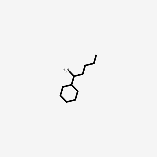 CCCCC(N)C1CCCCC1